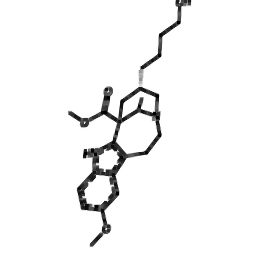 COC(=O)C12C[C@H](CCCCO)CN(CCc3c1[nH]c1ccc(OC)cc31)C2C